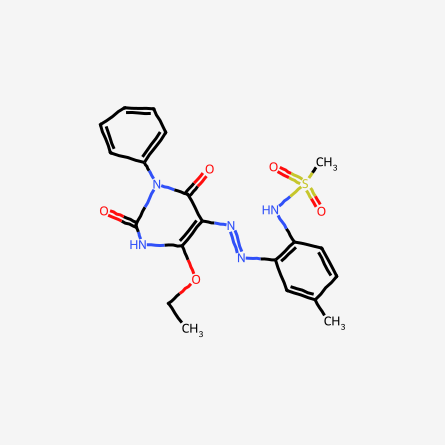 CCOc1[nH]c(=O)n(-c2ccccc2)c(=O)c1/N=N/c1cc(C)ccc1NS(C)(=O)=O